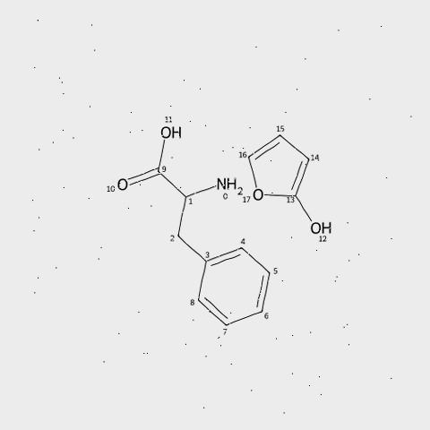 NC(Cc1ccccc1)C(=O)O.Oc1ccco1